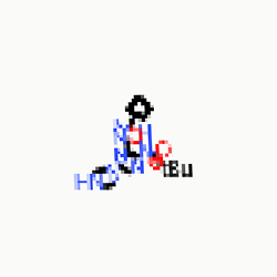 CC(C)(C)OC(=O)Nc1ncc(N2CCNCC2)nc1-c1nnc(-c2ccccc2)o1